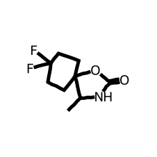 CC1NC(=O)OC12CCC(F)(F)CC2